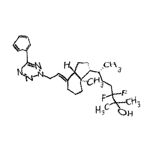 C[C@H](CCC(F)(F)C(C)(C)O)[C@H]1CC[C@H]2/C(=C/Cn3nnc(-c4ccccc4)n3)CCC[C@]12C